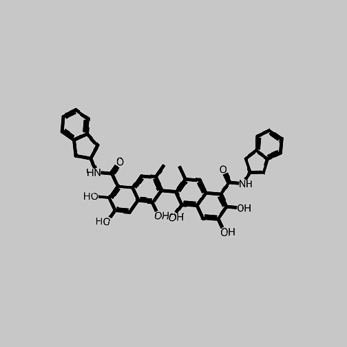 Cc1cc2c(C(=O)NC3Cc4ccccc4C3)c(O)c(O)cc2c(O)c1-c1c(C)cc2c(C(=O)NC3Cc4ccccc4C3)c(O)c(O)cc2c1O